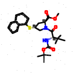 COC(=O)[C@@H]1C[C@@H](Sc2cccc3ccccc23)CN1C(=O)[C@@H](NC(=O)OC(C)(C)C)C(C)(C)C